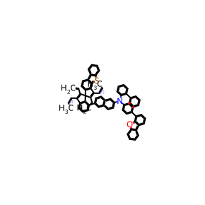 C=CC1=C(/C=C\C)c2cccc(-c3ccc4cc(N(c5ccc(-c6cccc7c6oc6ccccc67)cc5)c5ccccc5-c5ccccc5)ccc4c3)c2C12C(C=C)=C(/C=C\C)c1c2ccc2c1sc1ccccc12